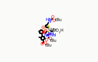 CSc1sc(C=NNC(=O)OC(C)(C)C)cc1S(=O)(=O)c1cccc(-c2c(C)cc(C(=O)OC(C)(C)C)cc2N(C(=O)CSCCC(=O)O)N(C(=N)N)C(=O)OC(C)(C)C)c1